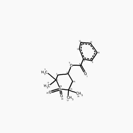 CC1(C)CC(OC(=O)c2ccccc2)CC(C)(C)S1(=O)=O